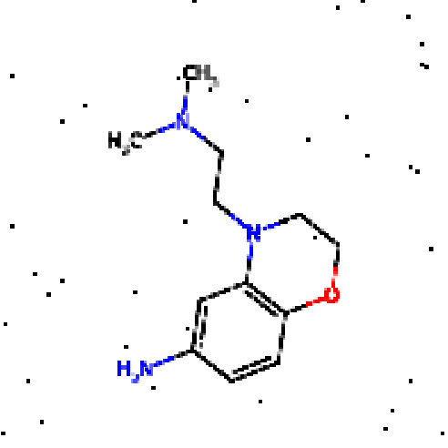 CN(C)CCN1CCOc2ccc(N)cc21